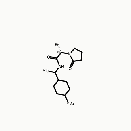 CCCCC1CCC(C(O)NC(=O)[C@H](CC)N2CCCC2=O)CC1